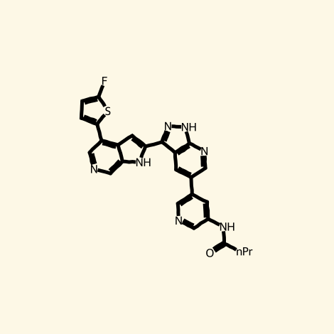 CCCC(=O)Nc1cncc(-c2cnc3[nH]nc(-c4cc5c(-c6ccc(F)s6)cncc5[nH]4)c3c2)c1